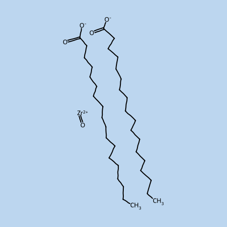 CCCCCCCCCCCCCCCCCC(=O)[O-].CCCCCCCCCCCCCCCCCC(=O)[O-].[O]=[Zr+2]